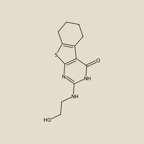 O=c1[nH]c(NCCO)nc2sc3c(c12)CCCC3